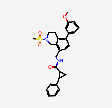 COc1cccc(-c2ccc(CNC(=O)C3CC3c3ccccc3)c3c2CCN(S(C)(=O)=O)C3)c1